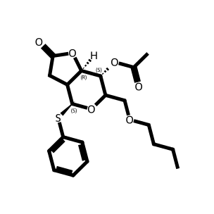 CCCCOCC1O[C@@H](Sc2ccccc2)C2CC(=O)O[C@H]2[C@@H]1OC(C)=O